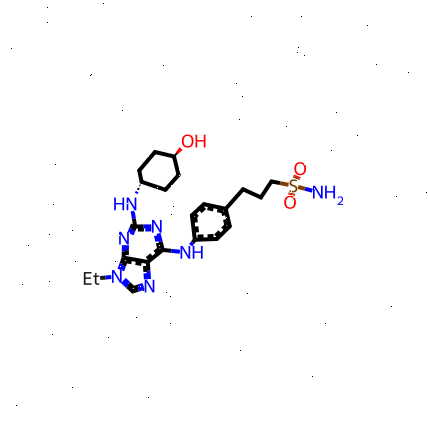 CCn1cnc2c(Nc3ccc(CCCS(N)(=O)=O)cc3)nc(N[C@H]3CC[C@H](O)CC3)nc21